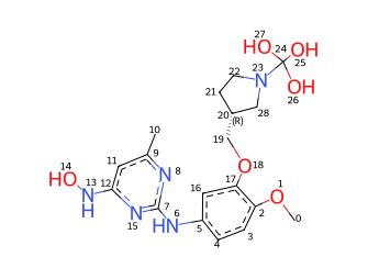 COc1ccc(Nc2nc(C)cc(NO)n2)cc1OC[C@@H]1CCN(C(O)(O)O)C1